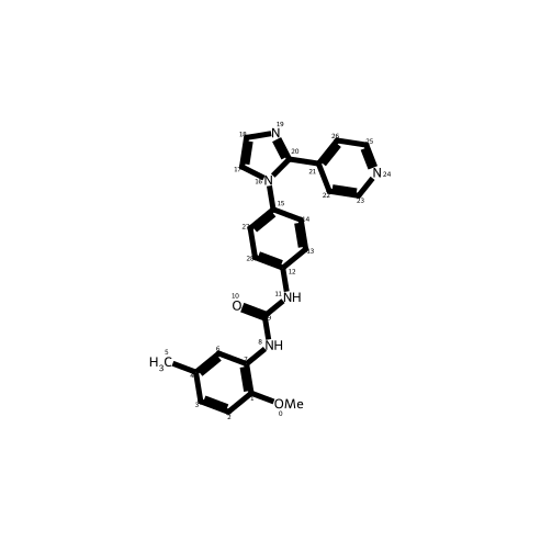 COc1ccc(C)cc1NC(=O)Nc1ccc(-n2ccnc2-c2ccncc2)cc1